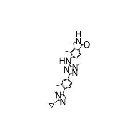 Cc1cc(-c2nc(Nc3ccc4c(c3C)CNC4=O)n(C)n2)ccc1-c1cnc(C2CC2)n1C